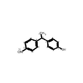 CC(c1ccc(O)cc1)c1ccc(N=O)cc1